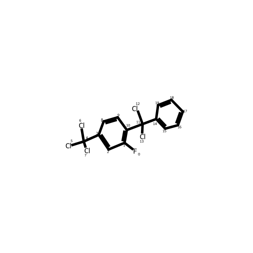 Fc1cc(C(Cl)(Cl)Cl)[c]cc1C(Cl)(Cl)c1ccccc1